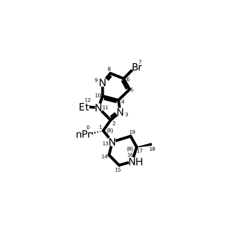 CCC[C@H](c1nc2cc(Br)cnc2n1CC)N1CCN[C@H](C)C1